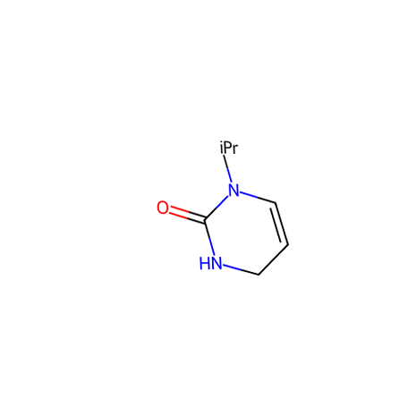 CC(C)N1C=CCNC1=O